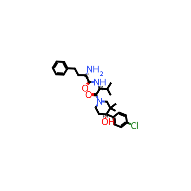 CC(C)[C@@H](NC(=O)[C@@H](N)CCc1ccccc1)C(=O)N1CC[C@](O)(c2ccc(Cl)cc2)C(C)(C)C1